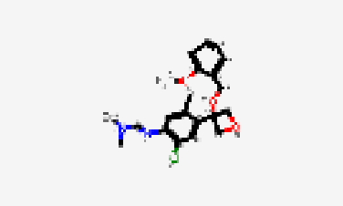 CCN(C)C=Nc1cc(C)c(C2(OCc3ccccc3OC(F)(F)F)COC2)cc1Cl